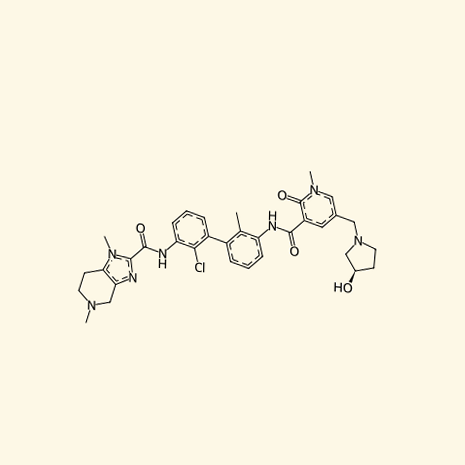 Cc1c(NC(=O)c2cc(CN3CC[C@@H](O)C3)cn(C)c2=O)cccc1-c1cccc(NC(=O)c2nc3c(n2C)CCN(C)C3)c1Cl